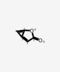 O=c1cc2cc-2o1